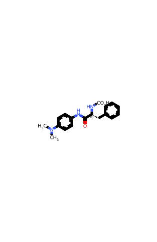 CN(C)c1ccc(NC(=O)[C@@H](Cc2ccccc2)NC(=O)O)cc1